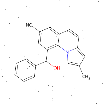 Cc1cc2ccc3cc(C#N)cc(C(O)c4ccccc4)c3n2c1